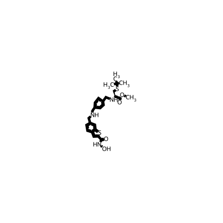 COC(=O)[C@H](CSC(C)(C)C)NCc1ccc(CNCc2ccc3cc(C(=O)NO)sc3c2)cc1